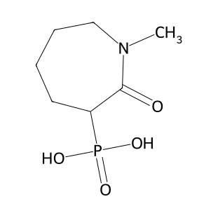 CN1CCCCC(P(=O)(O)O)C1=O